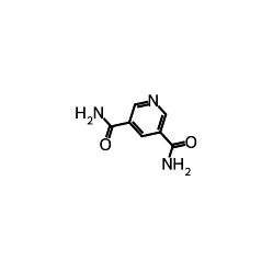 NC(=O)c1cncc(C(N)=O)c1